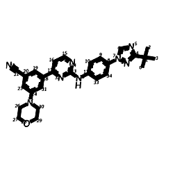 CC(C)(C)c1ncn(-c2ccc(Nc3nccc(-c4cc(C#N)cc(N5CCOCC5)c4)n3)cc2)n1